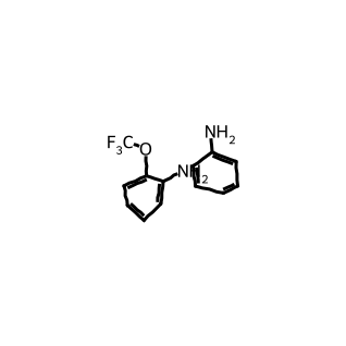 Nc1ccccc1.Nc1ccccc1OC(F)(F)F